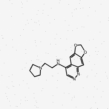 c1nnc2cc3c(cc2c1NCCN1CCCC1)OCO3